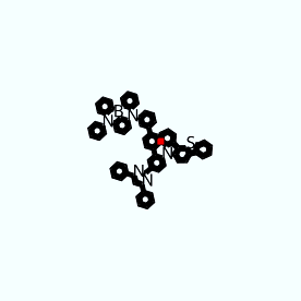 c1ccc(-c2cc(-c3ccccc3)nc(-c3ccc(-n4c5ccccc5c5c6sc7ccccc7c6ccc54)c(-c4ccc(-c5cccc(N6c7ccccc7B7c8ccccc8N(c8ccccc8)c8cccc6c87)c5)cc4)c3)n2)cc1